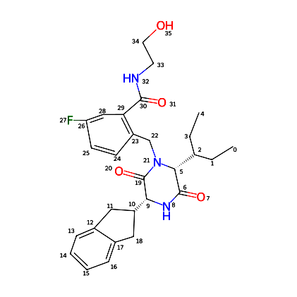 CCC(CC)[C@@H]1C(=O)N[C@H](C2Cc3ccccc3C2)C(=O)N1Cc1ccc(F)cc1C(=O)NCCO